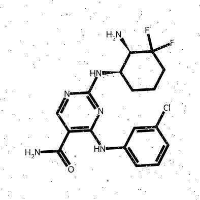 NC(=O)c1cnc(N[C@@H]2CCCC(F)(F)[C@@H]2N)nc1Nc1cccc(Cl)c1